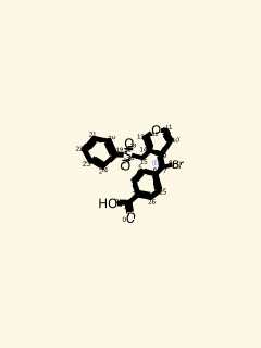 O=C(O)c1ccc(/C(Br)=C2/C=COC=C2CS(=O)(=O)c2ccccc2)cc1